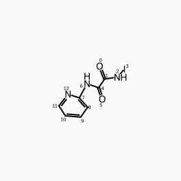 O=C(NI)C(=O)Nc1ccccn1